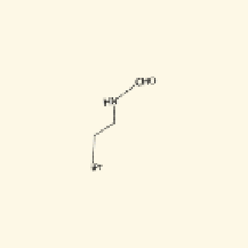 [CH2]C(C)CCNC=O